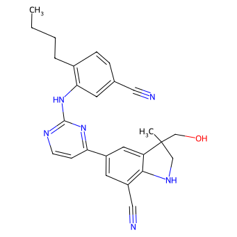 CCCCc1ccc(C#N)cc1Nc1nccc(-c2cc(C#N)c3c(c2)C(C)(CO)CN3)n1